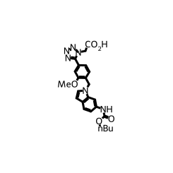 CCCCOC(=O)Nc1ccc2ccn(Cc3ccc(-c4nnnn4CC(=O)O)cc3OC)c2c1